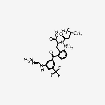 CC(C)CC(=O)N(N)C(Cc1ccccc1C(=O)c1cc(NC=NN)cc(C(F)(F)F)c1)C(=O)O